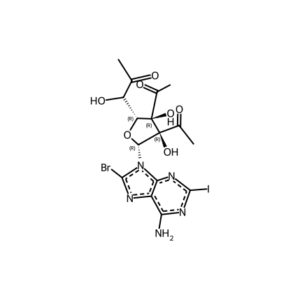 CC(=O)C(O)[C@H]1O[C@@H](n2c(Br)nc3c(N)nc(I)nc32)[C@@](O)(C(C)=O)[C@@]1(O)C(C)=O